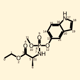 CCOC(=O)[C@H](C)NP(=O)(OC)Oc1ccc2[nH]ccc2c1